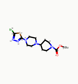 CC(C)(C)OC(=O)N1CCC(N2CCN(c3nnc(Br)s3)CC2)CC1